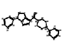 O=C(c1ccn2c1CSC2c1cccnc1)N1CCN(c2ncccn2)CC1